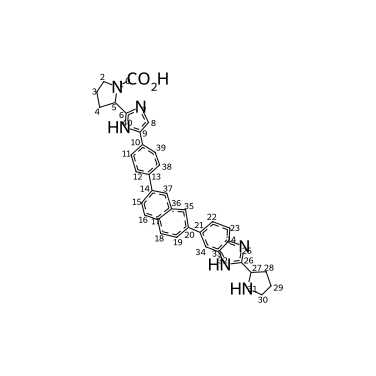 O=C(O)N1CCCC1c1ncc(-c2ccc(-c3ccc4ccc(-c5ccc6nc(C7CCCN7)[nH]c6c5)cc4c3)cc2)[nH]1